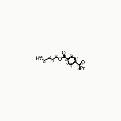 CC(C)C(=O)c1ccc(C(=O)OCCCCO)cc1